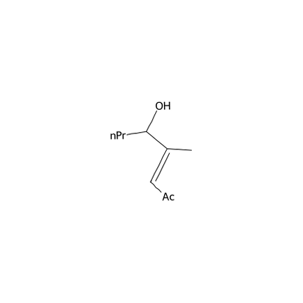 CCCC(O)C(C)=CC(C)=O